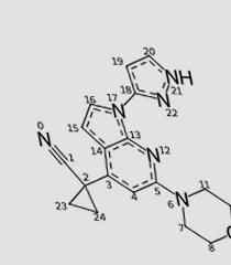 N#CC1(c2cc(N3CCOCC3)nc3c2ccn3-c2cc[nH]n2)CC1